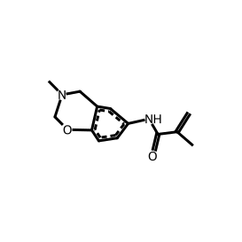 C=C(C)C(=O)Nc1ccc2c(c1)CN(C)CO2